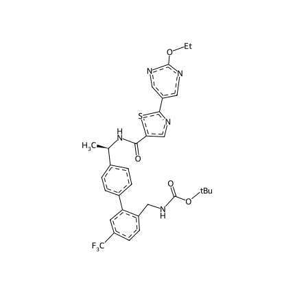 CCOc1ncc(-c2ncc(C(=O)N[C@H](C)c3ccc(-c4cc(C(F)(F)F)ccc4CNC(=O)OC(C)(C)C)cc3)s2)cn1